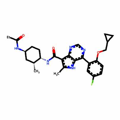 CCC(=O)N[C@H]1CC[C@H](NC(=O)c2c(C)[nH]c3c(-c4cc(F)ccc4OCC4CC4)ncnc23)[C@H](C)C1